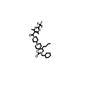 CCCCC1CN(CC2CCCCC2)C(=O)OC12CCN(C1CCN(C(=O)c3c(C)nc(C(F)(F)F)nc3C)CC1)CC2